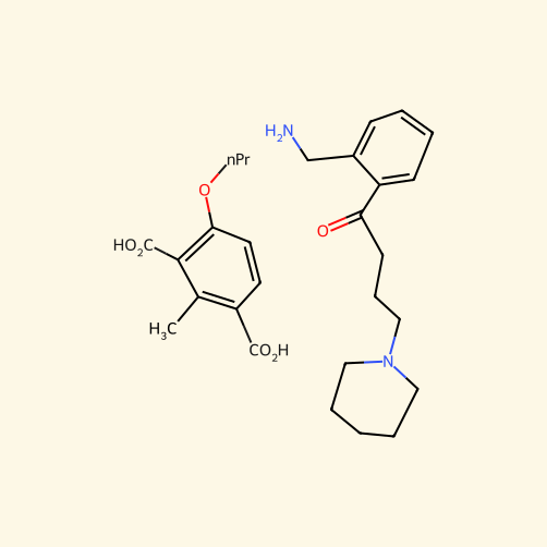 CCCOc1ccc(C(=O)O)c(C)c1C(=O)O.NCc1ccccc1C(=O)CCCN1CCCCC1